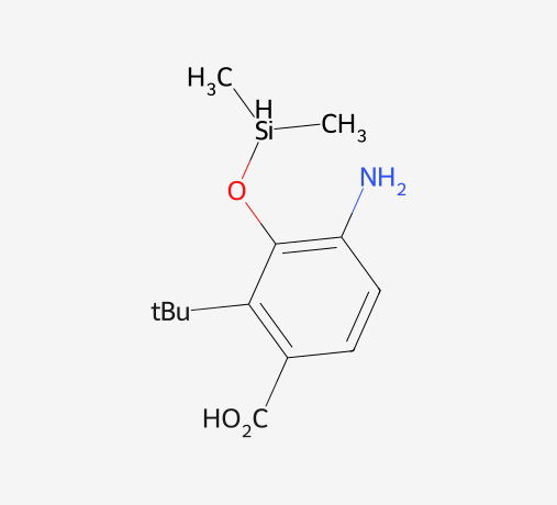 C[SiH](C)Oc1c(N)ccc(C(=O)O)c1C(C)(C)C